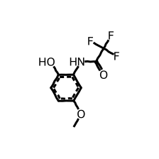 COc1ccc(O)c(NC(=O)C(F)(F)F)c1